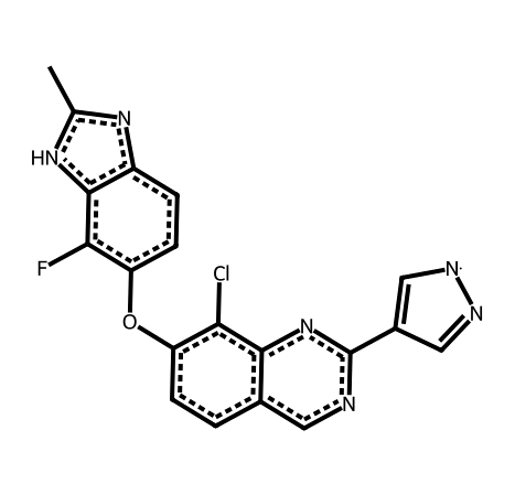 Cc1nc2ccc(Oc3ccc4cnc(C5=C[N]N=C5)nc4c3Cl)c(F)c2[nH]1